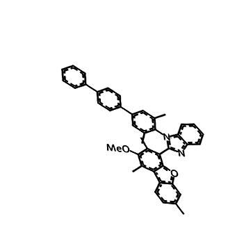 COc1c(C)c(-c2nc3ccccc3n2-c2c(C)cc(-c3ccc(-c4ccccc4)cc3)cc2C)c2oc3cc(C)ccc3c2c1C